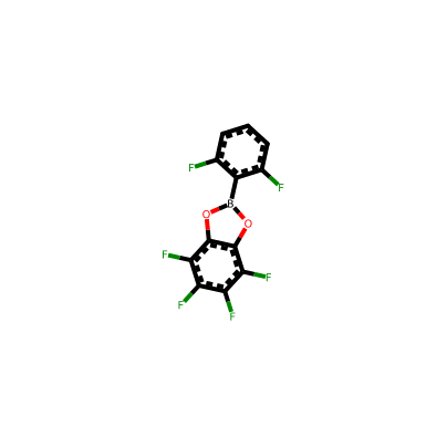 Fc1cccc(F)c1B1Oc2c(F)c(F)c(F)c(F)c2O1